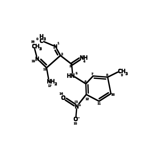 C/N=C(C(=N)Nc1cc(C)ccc1[N+](=O)[O-])\C(N)=N/C